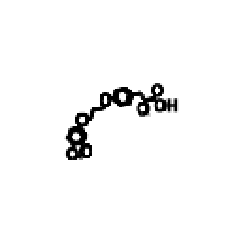 CO[C@@H](Cc1ccc(OCCCOc2ccc3c(c2)OCO3)cc1)C(=O)O